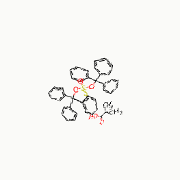 C=C(C)C(=O)O.O=S(=S)(OC(c1ccccc1)(c1ccccc1)c1ccccc1)OC(c1ccccc1)(c1ccccc1)c1ccccc1